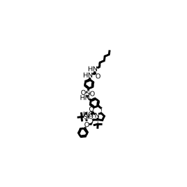 CCCCCCNC(=O)Nc1ccc(S(=O)(=O)Nc2ccc(C[C@@H]3CC[C@]([C@@H](COc4ccccc4)O[Si](C)(C)C(C)(C)C)(C(C)(C)C)N3C(=O)O)cc2)cc1